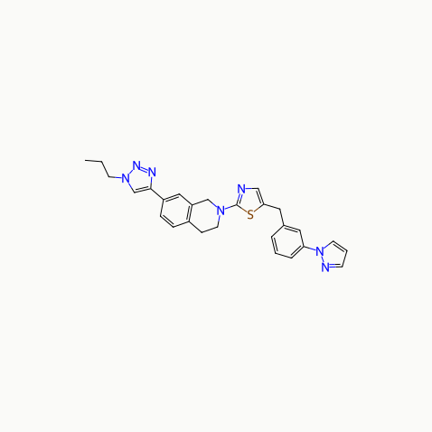 CCCn1cc(-c2ccc3c(c2)CN(c2ncc(Cc4cccc(-n5cccn5)c4)s2)CC3)nn1